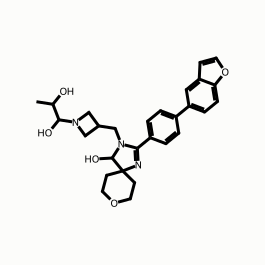 CC(O)C(O)N1CC(CN2C(c3ccc(-c4ccc5occc5c4)cc3)=NC3(CCOCC3)C2O)C1